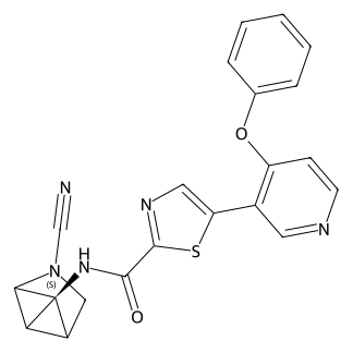 N#CN1CC2C3C1[C@]23NC(=O)c1ncc(-c2cnccc2Oc2ccccc2)s1